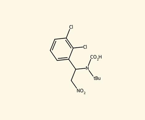 CC(C)(C)N(C(=O)O)C(C[N+](=O)[O-])c1cccc(Cl)c1Cl